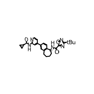 CC(C)(C)c1noc(C(=O)N[C@H]2CCCCc3cc(-c4ccnc(NC(=O)C5CC5)c4)ccc32)n1